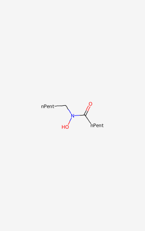 CCCCCCN(O)C(=O)CCCCC